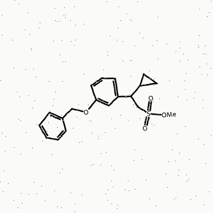 COS(=O)(=O)CC(c1cccc(OCc2ccccc2)c1)C1CC1